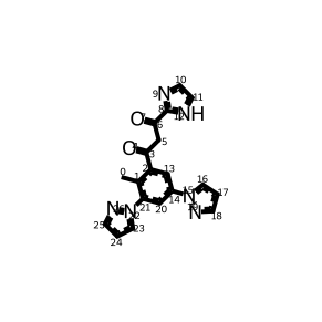 Cc1c(C(=O)CC(=O)c2ncc[nH]2)cc(-n2cccn2)cc1-n1cccn1